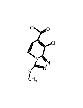 CSc1nnc2c(Cl)c(C(=O)Cl)ccn12